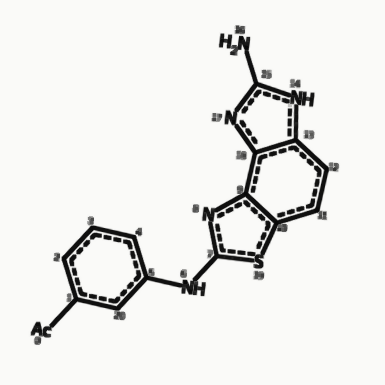 CC(=O)c1cccc(Nc2nc3c(ccc4[nH]c(N)nc43)s2)c1